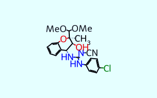 COC(OC)[C@]1(C)Oc2ccccc2[C@@H](NC(=NC#N)Nc2ccc(Cl)cc2)[C@@H]1O